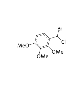 COc1ccc(C(Cl)Br)c(OC)c1OC